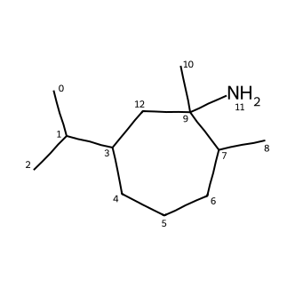 CC(C)C1CCCC(C)C(C)(N)C1